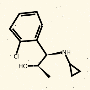 C[C@@H](O)[C@H](NC1CC1)c1ccccc1Cl